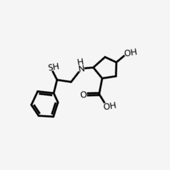 O=C(O)C1CC(O)CC1NCC(S)c1ccccc1